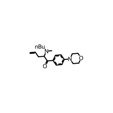 C=CCC(C(=O)c1ccc(N2CCOCC2)cc1)N(C)CCCC